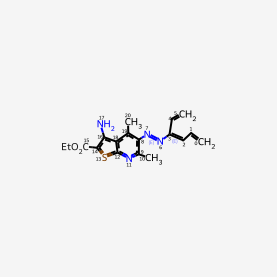 C=C/C=C(C=C)/N=N/c1c(C)nc2sc(C(=O)OCC)c(N)c2c1C